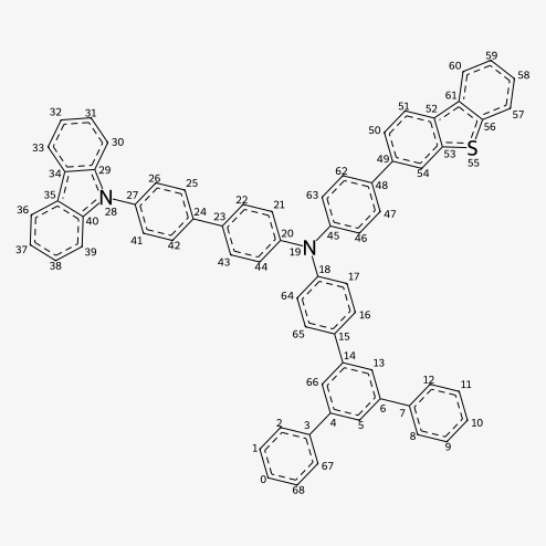 c1ccc(-c2cc(-c3ccccc3)cc(-c3ccc(N(c4ccc(-c5ccc(-n6c7ccccc7c7ccccc76)cc5)cc4)c4ccc(-c5ccc6c(c5)sc5ccccc56)cc4)cc3)c2)cc1